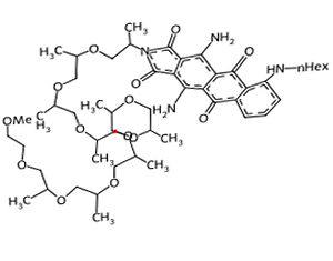 CCCCCCNc1cccc2c(=O)c3c(N)c4c(=O)n(C(C)COC(C)COC(C)COC(C)COC(C)COC(C)COC(C)COC(C)COC(C)COCCOC)c(=O)c4c(N)c3c(=O)c12